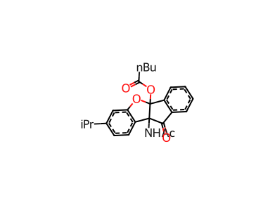 CCCCC(=O)OC12Oc3cc(C(C)C)ccc3C1(NC(C)=O)C(=O)c1ccccc12